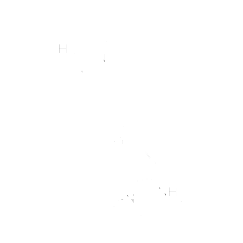 CC(C)(C)N(CCCCCOc1ccc(N)c([N+](=O)[O-])c1)C(=O)O